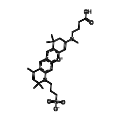 CC1=CC(C)(C)N(CCCS(=O)(=O)[O-])c2cc3[o+]c4c(cc3cc21)C(C)(C)CC(N(C)CCCC(=O)O)=C4